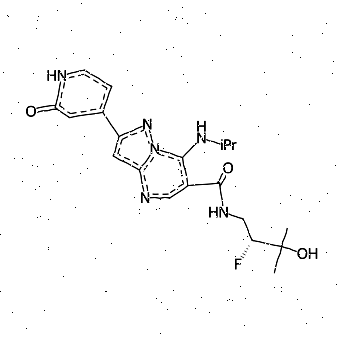 CC(C)Nc1c(C(=O)NC[C@@H](F)C(C)(C)O)cnc2cc(-c3cc[nH]c(=O)c3)nn12